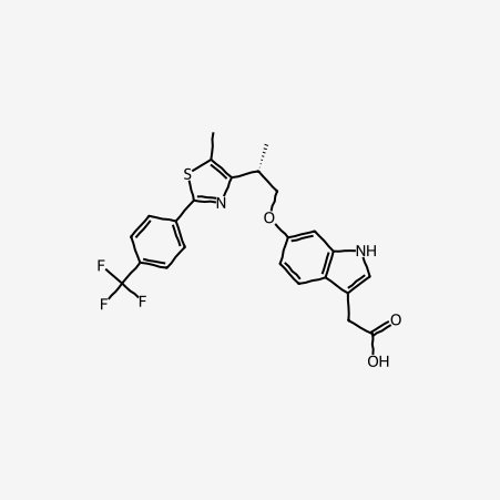 Cc1sc(-c2ccc(C(F)(F)F)cc2)nc1[C@H](C)COc1ccc2c(CC(=O)O)c[nH]c2c1